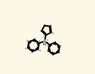 [C]1=C([SiH](c2ccccc2)c2ccccc2)C=CC1